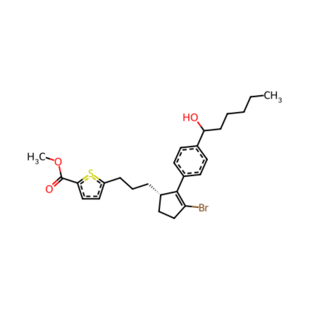 CCCCCC(O)c1ccc(C2=C(Br)CC[C@@H]2CCCc2ccc(C(=O)OC)s2)cc1